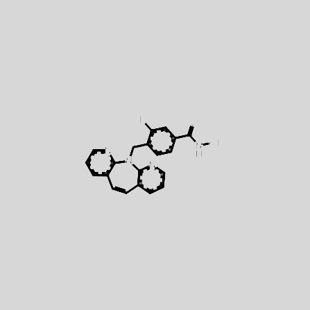 O=C(NO)c1ccc(CN2c3ncccc3C=Cc3cccnc32)c(F)c1